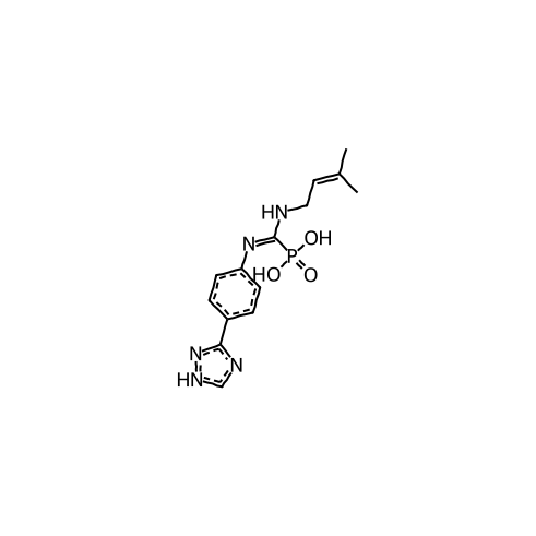 CC(C)=CCNC(=Nc1ccc(-c2nc[nH]n2)cc1)P(=O)(O)O